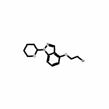 BrCCOc1cccc2c1cnn2C1CCCCO1